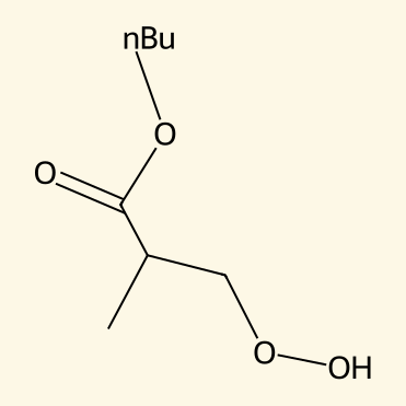 CCCCOC(=O)C(C)COO